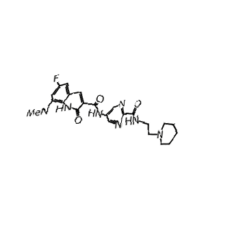 CNc1cc(F)cc2cc(C(=O)Nc3cnc(C(=O)NCCN4CCCCC4)nc3)c(=O)[nH]c12